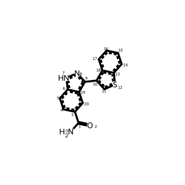 NC(=O)c1ccc2[nH]nc(-c3csc4ccccc34)c2c1